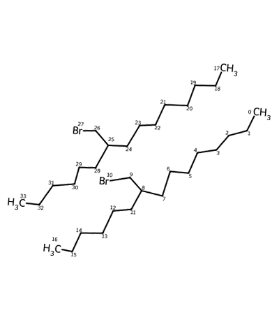 CCCCCCCCC(CBr)CCCCCC.CCCCCCCCC(CBr)CCCCCC